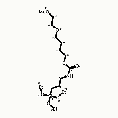 CCO[Si](CCCNC(=O)OCCCCOCCOC)(OCC)OCC